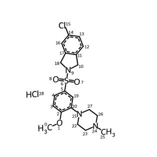 COc1ccc(S(=O)(=O)N2Cc3ccc(Cl)cc3C2)cc1N1CCN(C)CC1.Cl